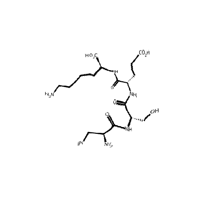 CC(C)C[C@H](N)C(=O)N[C@@H](CO)C(=O)N[C@@H](CCC(=O)O)C(=O)N[C@@H](CCCCN)C(=O)O